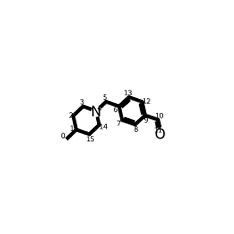 CC1CCN(Cc2ccc(C=O)cc2)CC1